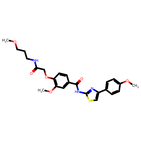 COCCCNC(=O)COc1ccc(C(=O)Nc2nc(-c3ccc(OC)cc3)cs2)cc1OC